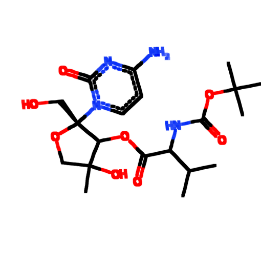 CC(C)C(NC(=O)OC(C)(C)C)C(=O)OC1C(C)(O)CO[C@]1(CO)n1ccc(N)nc1=O